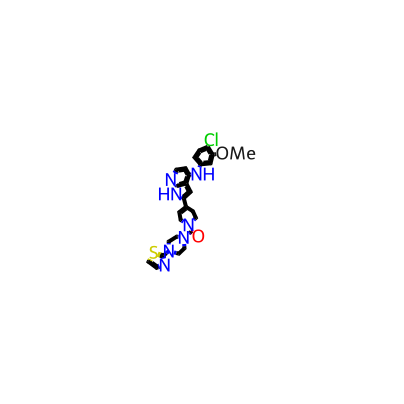 COc1cc(Nc2ccnc3[nH]c(C4=CCN(C(=O)N5CCN(c6nccs6)CC5)CC4)cc23)ccc1Cl